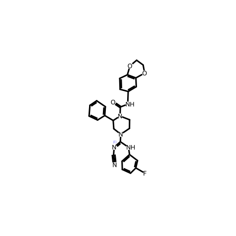 N#C/N=C(\Nc1cccc(F)c1)N1CCN(C(=O)Nc2ccc3c(c2)OCCO3)C(c2ccccc2)C1